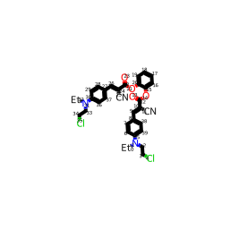 CCN(CCCl)c1ccc(/C=C(\C#N)C(=O)Oc2ccccc2OC(=O)/C(C#N)=C/c2ccc(N(CC)CCCl)cc2)cc1